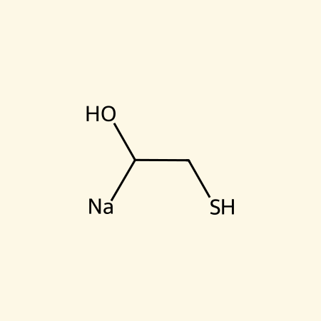 O[CH]([Na])CS